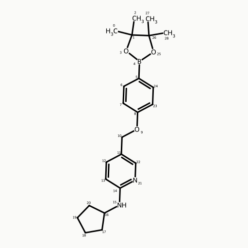 CC1(C)OB(c2ccc(OCc3ccc(NC4CCCC4)nc3)cc2)OC1(C)C